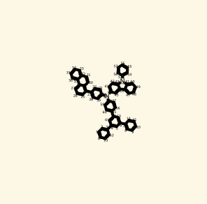 c1ccc(-c2cc(-c3ccccc3)cc(-c3ccc(N(c4ccc(-c5cccc6c5ccc5ccccc56)cc4)c4ccc5c(c4)c4ccccc4n5-c4ccccc4)cc3)c2)cc1